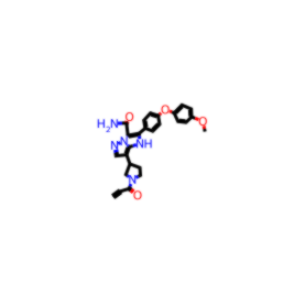 C#CC(=O)N1CCC(c2cnn3c(C(N)=O)c(-c4ccc(Oc5ccc(OC)cc5)cc4)[nH]c23)C1